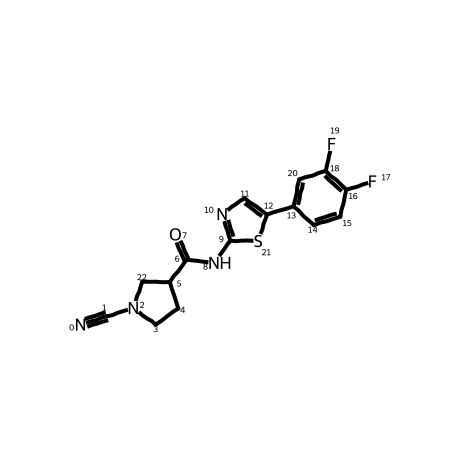 N#CN1CCC(C(=O)Nc2ncc(-c3ccc(F)c(F)c3)s2)C1